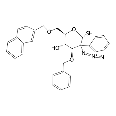 [N-]=[N+]=NC1(c2ccccc2)[C@@H](S)O[C@H](COCc2ccc3ccccc3c2)[C@@H](O)[C@@H]1OCc1ccccc1